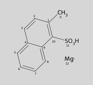 Cc1ccc2ccccc2c1S(=O)(=O)O.[Mg]